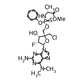 COC(=O)[C@@H](C)N[P@](=S)(OC[C@@]1(CCl)O[C@@H](n2cnc3c(N(C)C)nc(N)nc32)[C@H](F)[C@@H]1O)Oc1ccccc1